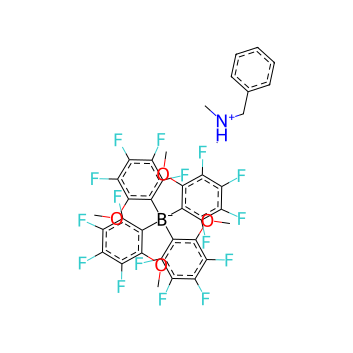 COc1c(F)c(F)c(F)c(F)c1[B-](c1c(F)c(F)c(F)c(F)c1OC)(c1c(F)c(F)c(F)c(F)c1OC)c1c(F)c(F)c(F)c(F)c1OC.C[NH+](C)Cc1ccccc1